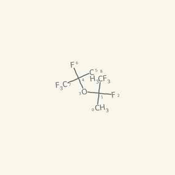 CC(F)(OC(C)(F)C(F)(F)F)C(F)(F)F